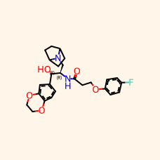 O=C(CCOc1ccc(F)cc1)N[C@H](CN1C2CCC1CC2)[C@H](O)c1ccc2c(c1)OCCO2